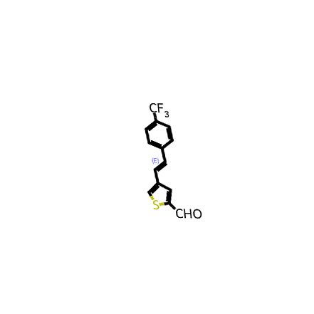 O=Cc1cc(/C=C/c2ccc(C(F)(F)F)cc2)cs1